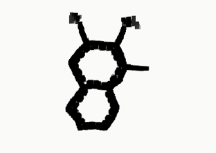 Cc1c(N)c(C(C)C)cc2ccccc12